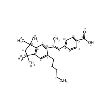 CCCCCc1cc2c(cc1C(C)=Cc1ccc(C(=O)O)cc1)C(C)(C)CC2(C)C